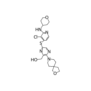 OCc1nc(Sc2ccnc(NC3CCOCC3)c2Cl)cnc1N1CCC2(CCOC2)CC1